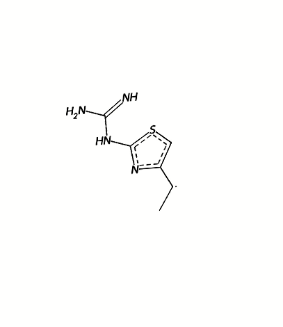 C[CH]c1csc(NC(=N)N)n1